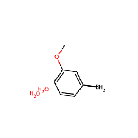 Bc1cccc(OC)c1.O.O